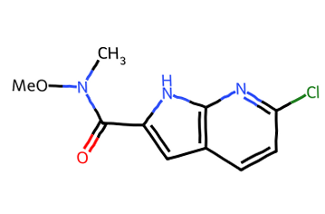 CON(C)C(=O)c1cc2ccc(Cl)nc2[nH]1